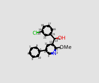 COc1ncc(-c2ccccc2)cc1C(O)c1cccc(Cl)c1